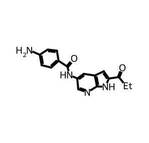 CCC(=O)c1cc2cc(NC(=O)c3ccc(N)cc3)cnc2[nH]1